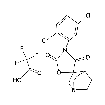 O=C(O)C(F)(F)F.O=C1OC2(CN3CCC2CC3)C(=O)N1c1cc(Cl)ccc1Cl